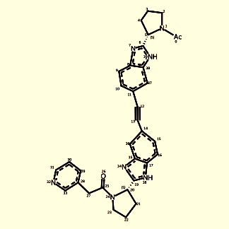 CC(=O)N1CCC[C@H]1c1nc2ccc(C#Cc3ccc4[nH]c([C@@H]5CCCN5C(=O)Cc5cccnc5)nc4c3)cc2[nH]1